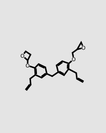 C=CCc1cc(Cc2ccc(OC3CCO3)c(CC=C)c2)ccc1OCC1CO1